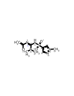 C=C(Cl)/N=C(/NS(=O)(=O)c1cnn(C)c1)N(C)C